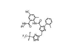 Cc1ccccc1-n1nc(Cn2nnc(C(F)(F)C(F)(F)F)n2)cc1C(=O)Nc1c(C)cc(C#N)cc1C(=O)NC(C)C